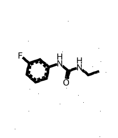 CCNC(=O)Nc1cccc(F)c1